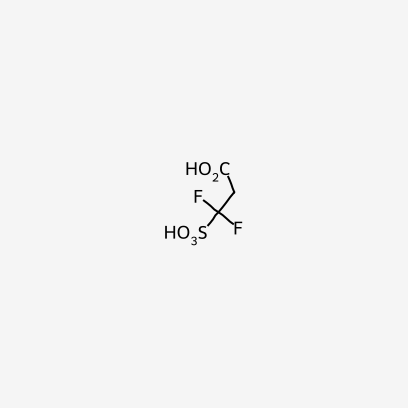 O=C(O)CC(F)(F)S(=O)(=O)O